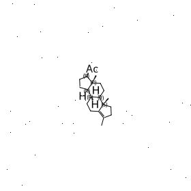 CC(=O)[C@@H]1CC[C@@H]2[C@H]3CCC4=C(C)CC[C@@]4(C)[C@@H]3CC[C@]21C